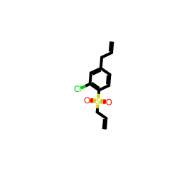 C=CCc1ccc(S(=O)(=O)CC=C)c(Cl)c1